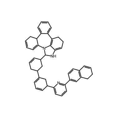 C1=CCC2C(=C1)N1C3=C(CCC=C3NC1C1C=CCC(C3=CC=CC(c4cccc(-c5ccc6c(c5)CCC=C6)n4)C3)C1)c1ccccc12